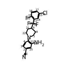 N#Cc1ccc(N2CCC(C(F)(F)c3cc(Cl)ccc3F)CC2)c(N)c1